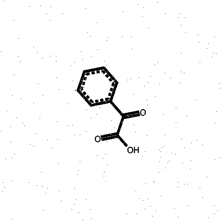 O=C(O)C(=O)c1c[c]ccc1